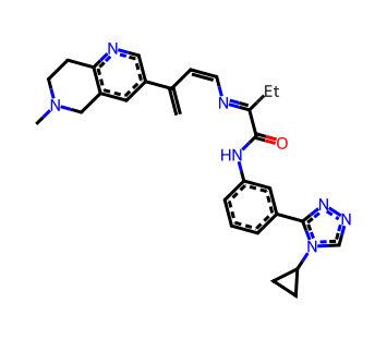 C=C(/C=C\N=C(/CC)C(=O)Nc1cccc(-c2nncn2C2CC2)c1)c1cnc2c(c1)CN(C)CC2